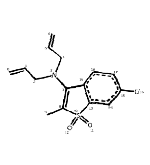 C=CCN(CC=C)C1=C(C)S(=O)(=O)c2cc(Cl)ccc21